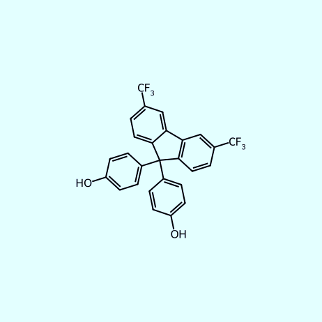 Oc1ccc(C2(c3ccc(O)cc3)c3ccc(C(F)(F)F)cc3-c3cc(C(F)(F)F)ccc32)cc1